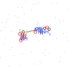 Nc1ncnc2c1c(-c1ccc(Oc3ccccc3)cc1)nn2C1CCCN(C(=O)CCCCCCCSc2ccc(F)c3c2C(=O)N(C2CCC(=O)NC2=O)C3=O)C1